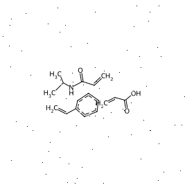 C=CC(=O)NC(C)C.C=CC(=O)O.C=Cc1ccccc1